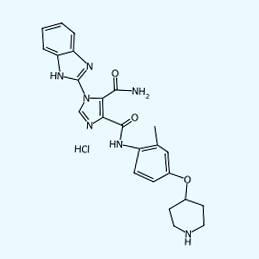 Cc1cc(OC2CCNCC2)ccc1NC(=O)c1ncn(-c2nc3ccccc3[nH]2)c1C(N)=O.Cl